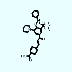 CC(C)(C)c1cc(C(=O)/C=C/c2ccc(C(=O)O)cc2)cc(N2CCCCC2)c1OCc1ccccc1